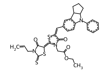 C=CCN1C(=O)/C(=c2\s/c(=C/c3ccc4c(c3)C3CCCC3N4c3ccccc3)c(=O)n2CC(=O)OCC)SC1=S